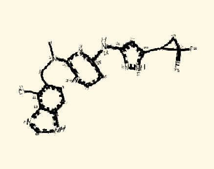 CN(Cc1ccc2[nH]cnc2c1Cl)c1nccc(Nc2cc(C3CC3(F)F)[nH]n2)n1